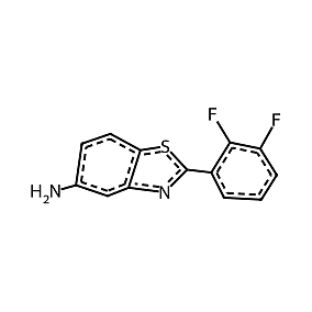 Nc1ccc2sc(-c3cccc(F)c3F)nc2c1